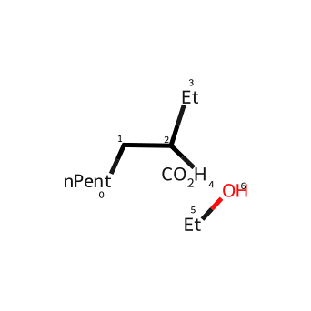 CCCCCCC(CC)C(=O)O.CCO